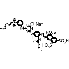 NC([O-])=Nc1cc(Nc2nc(Cl)nc(Nc3cccc(S(=O)(=O)CCOS(=O)(=O)O)c3)n2)ccc1N=Nc1cc2c(S(=O)(=O)O)cc(S(=O)(=O)O)cc2cc1S(=O)(=O)O.[Na+]